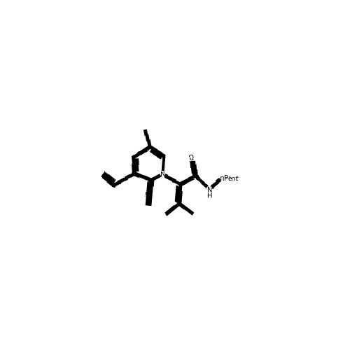 C=CC1=CC(C)=CN(C(C(=O)NCCCCC)=C(C)C)C1=C